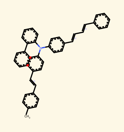 Cc1ccc(/C=C/c2ccc(N(c3ccc(/C=C/C=C/c4ccccc4)cc3)c3ccccc3-c3ccccc3)cc2)cc1